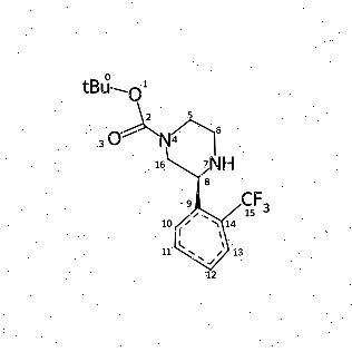 CC(C)(C)OC(=O)N1CCN[C@@H](c2ccccc2C(F)(F)F)C1